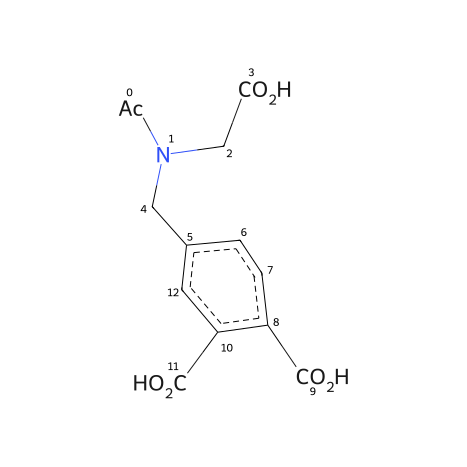 CC(=O)N(CC(=O)O)Cc1ccc(C(=O)O)c(C(=O)O)c1